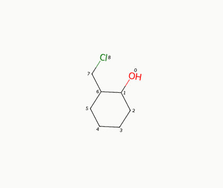 OC1CCCCC1CCl